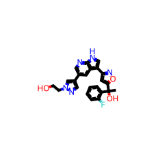 CC(O)(c1cc(-c2c[nH]c3ncc(-c4cnn(CCO)c4)cc23)no1)c1ccccc1F